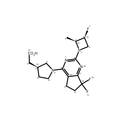 C[C@H]1[C@@H](F)CN1c1nc(N2CC[C@@H](CC(=O)O)C2)c2c(n1)C(F)(F)CC2